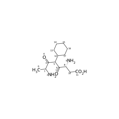 CC(N)C(=O)C(C(=O)[C@H](N)CC(=O)O)C1CCCCC1